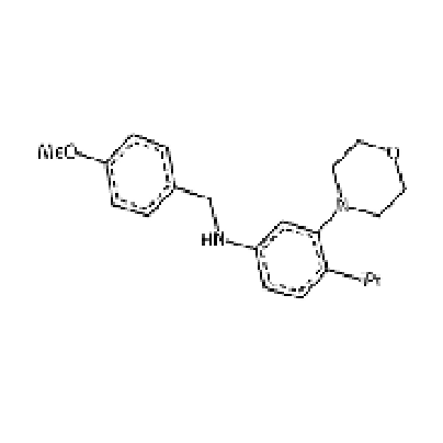 COc1ccc(CNc2ccc(C(C)C)c(N3CCOCC3)c2)cc1